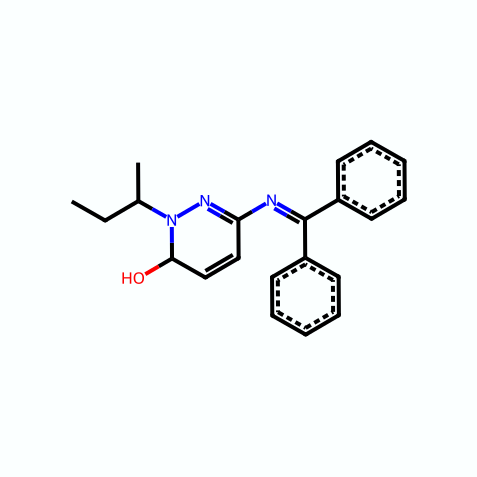 CCC(C)N1N=C(N=C(c2ccccc2)c2ccccc2)C=CC1O